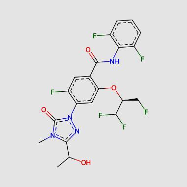 CC(O)c1nn(-c2cc(O[C@@H](CF)C(F)F)c(C(=O)Nc3c(F)cccc3F)cc2F)c(=O)n1C